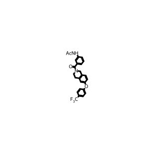 CC(=O)Nc1cccc(C(=O)N2CCc3cc(Oc4ccc(C(F)(F)F)cc4)ccc3C2)c1